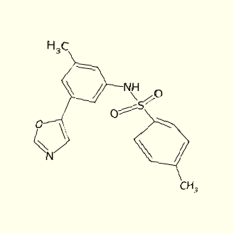 Cc1ccc(S(=O)(=O)Nc2cc(C)cc(-c3cnco3)c2)cc1